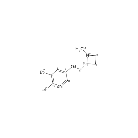 CCc1cc(OC[C@H]2CCN2C)cnc1F